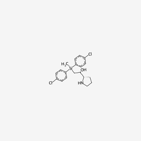 C[Si](C[C@@H](O)[C@@H]1CCCN1)(c1ccc(Cl)cc1)c1ccc(Cl)cc1